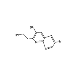 CC(C)CCc1nc2ccc(Br)cc2cc1C#N